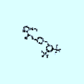 Cn1ccnc1C(=O)/C=C/c1ccc(Cc2cc(C(F)(F)F)cc(C(F)(F)F)c2)cc1